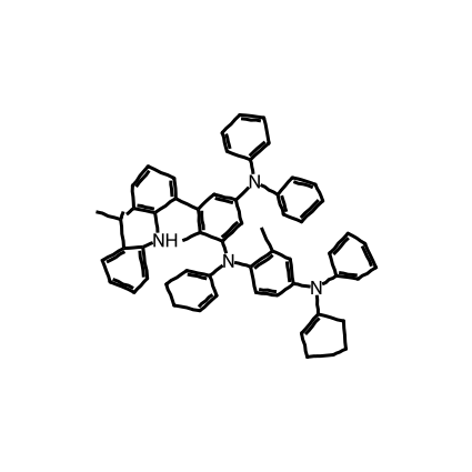 Cc1cc(N(C2=CCCCC2)c2ccccc2)ccc1N(C1=CCCC=C1)c1cc(N(c2ccccc2)c2ccccc2)cc(-c2cccc(C)c2Nc2ccccc2C(C)C)c1C